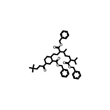 CC(C)C(CCC(C)C(CCC1CCC(C(=O)CCC(C)(C)C)CC1C(=O)OCc1ccccc1)C(=O)OCc1ccccc1)C(=O)OCc1ccccc1